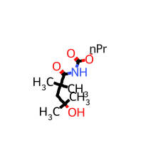 CCCOC(=O)NC(=O)C(C)(C)CC(C)(C)O